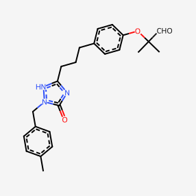 Cc1ccc(Cn2[nH]c(CCCc3ccc(OC(C)(C)C=O)cc3)nc2=O)cc1